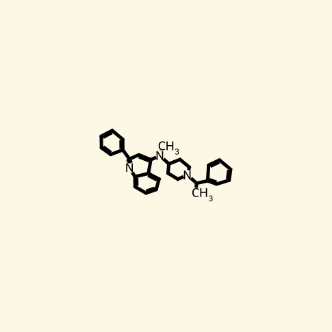 CC(c1ccccc1)N1CCC(N(C)c2cc(-c3ccccc3)nc3ccccc23)CC1